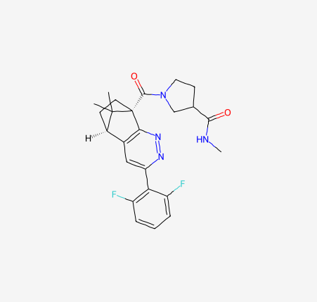 CNC(=O)C1CCN(C(=O)[C@]23CC[C@H](c4cc(-c5c(F)cccc5F)nnc42)C3(C)C)C1